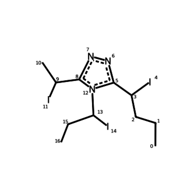 CCCC(I)c1nnc(C(C)I)n1C(I)CC